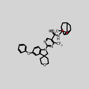 O=C(NC1(C(=O)O)C2CCC3CC(C2)CC1C3)c1cnc(N2CC3(CCOCC3)c3cc(Oc4ccccc4)ccc32)nc1C(F)(F)F